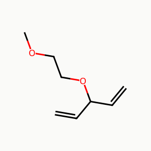 C=CC(C=C)OCCOC